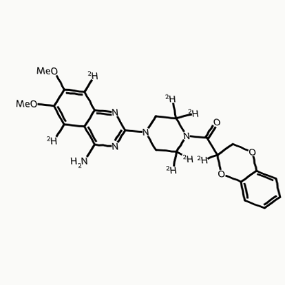 [2H]c1c(OC)c(OC)c([2H])c2c(N)nc(N3CC([2H])([2H])N(C(=O)C4([2H])COc5ccccc5O4)C([2H])([2H])C3)nc12